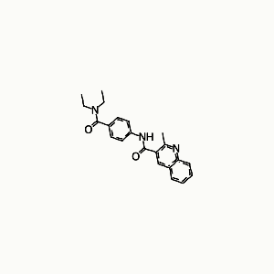 CCN(CC)C(=O)c1ccc(NC(=O)c2cc3ccccc3nc2C)cc1